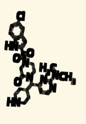 CN(C)c1nccc(C(C2CCNCC2)N2CCN(S(=O)(=O)c3cc4cc(Cl)ccc4[nH]3)CC2=O)n1